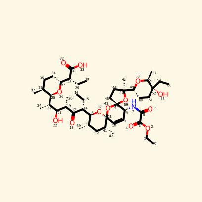 CCOC(=O)C(=O)N[C@@H]1C=C[C@]2(O[C@H]([C@@H](CC)C(=O)[C@@H](C)[C@@H](O)[C@H](C)[C@@H]3O[C@@H]([C@@H](CC)C(=O)O)CC[C@@H]3C)[C@@H](C)C[C@H]2C)O[C@@]12CC[C@@](C)([C@H]1CC[C@](O)(CC)[C@H](C)O1)O2